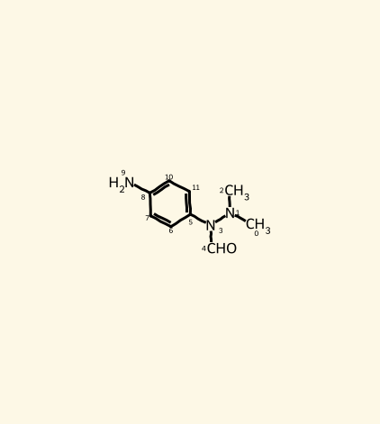 CN(C)N(C=O)c1ccc(N)cc1